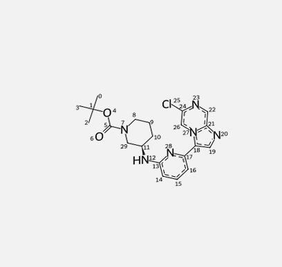 CC(C)(C)OC(=O)N1CCC[C@@H](Nc2cccc(-c3cnc4cnc(Cl)cn34)n2)C1